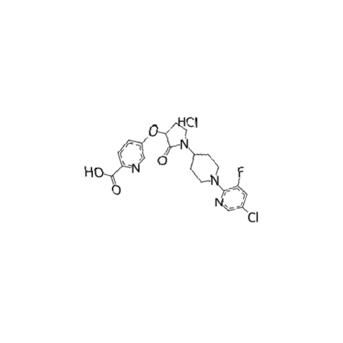 Cl.O=C(O)c1ccc(OC2CCN(C3CCN(c4ncc(Cl)cc4F)CC3)C2=O)cn1